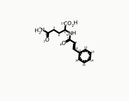 NC(=O)CCC(NC(=O)/C=C/c1ccccc1)C(=O)O